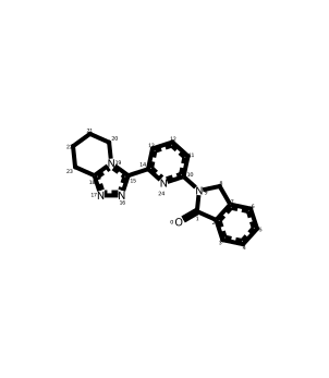 O=C1c2ccccc2CN1c1cccc(-c2nnc3n2CCCC3)n1